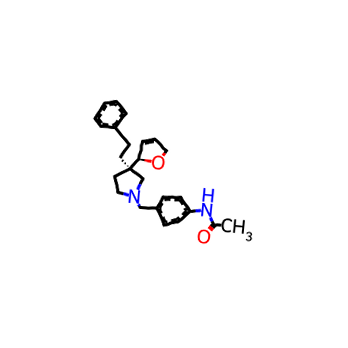 CC(=O)Nc1ccc(CN2CC[C@@](CCc3ccccc3)([C@H]3C=CCO3)C2)cc1